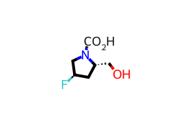 O=C(O)N1C[C@H](F)C[C@H]1CO